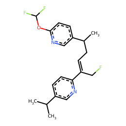 CC(C)c1ccc(/C(=C/CC(C)c2ccc(OC(F)F)nc2)CF)nc1